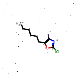 CCCCCCc1oc(Cl)nc1I